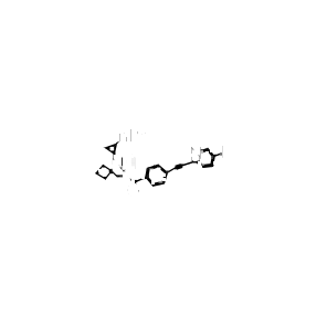 CCCC1CC1NC1(CNC(=O)c2ccc(C#Cc3ccc(F)cn3)cc2)CCC1